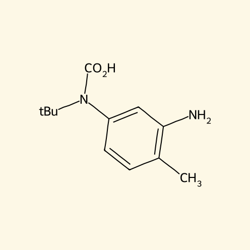 Cc1ccc(N(C(=O)O)C(C)(C)C)cc1N